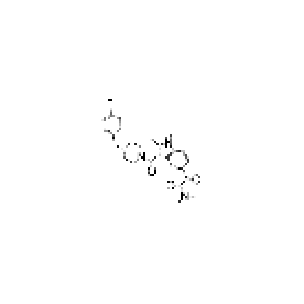 Cc1c(C(=O)N2CCC(Cc3ccc(F)cc3)CC2)c2cc(C(=O)C(=O)N(C)C)ccc2n1C